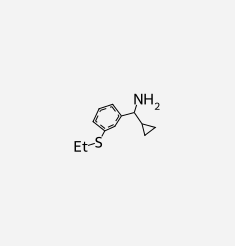 CCSc1cccc(C(N)C2CC2)c1